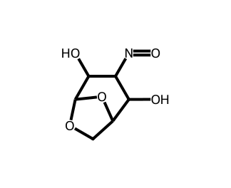 O=NC1C(O)C2COC(O2)C1O